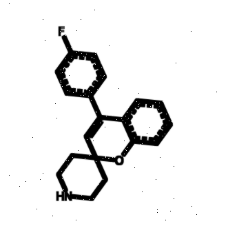 Fc1ccc(C2=CC3(CCNCC3)Oc3ccccc32)cc1